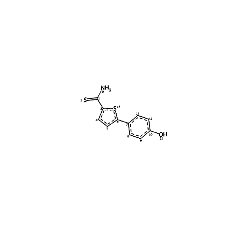 NC(=S)c1ccc(-c2ccc(O)cc2)s1